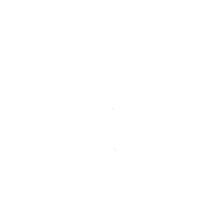 Cc1ccc(N)cc1C(=O)NCc1c2c(cc3c1CCC3)CCC2